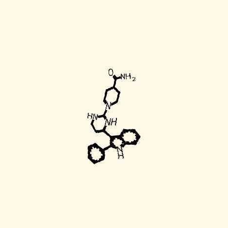 NC(=O)C1CCN(C2NCCC(c3c(-c4ccccc4)[nH]c4ccccc34)N2)CC1